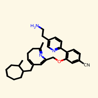 C\C1=N/C(COc2cc(C#N)ccc2-c2ccc(CCN)cn2)=C\C(CC2CCCCCC2C)=C/CC1